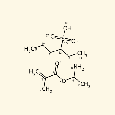 C=C(C)C(=O)OC(C)N.CCCC(CC)S(=O)(=O)O